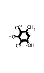 Cc1cc(O)c(Cl)c(O)c1Cl